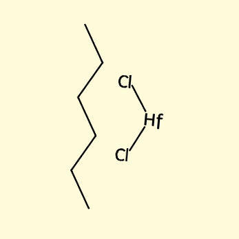 CCCCCC.[Cl][Hf][Cl]